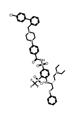 CCN(CC)CC[C@H](CSc1ccccc1)Nc1ccc(S(=O)(=O)NC(=O)c2ccc(N3CCN(Cc4ccccc4-c4ccc(Cl)cc4)CC3)cc2)cc1S(=O)(=O)C(F)(F)F